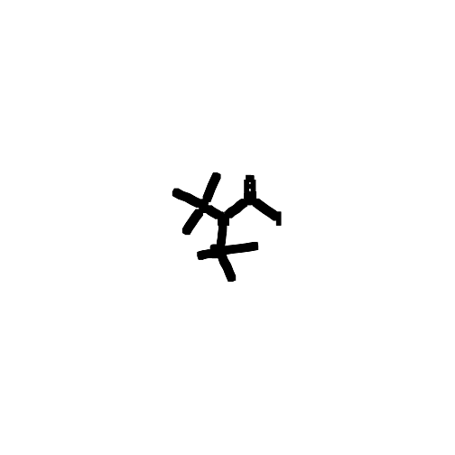 C[SiH](I)N([Si](C)(C)C)S(C)(C)C